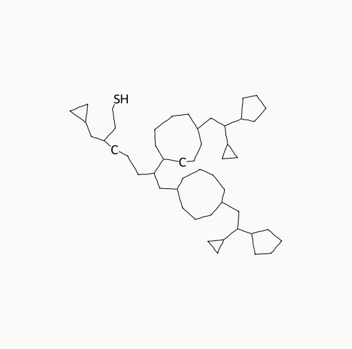 SCCC(CCCC(CC1CCCCC(CC(C2CCCC2)C2CC2)CCC1)C1CCCCC(CC(C2CCCC2)C2CC2)CCC1)CC1CC1